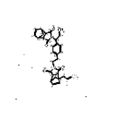 C=CCC12C=CC(C1)C1C(=O)N(CCc3ccc(C(C=C)N4C(=O)C5C6C=CC(C6)C5C4=O)cc3)C(=O)C12